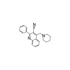 N#Cc1c(-c2ccccc2)nc2ccccc2c1CN1CCCCC1